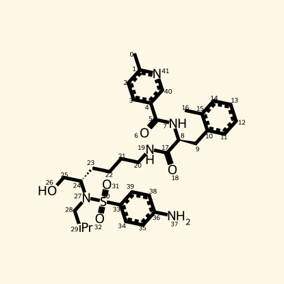 Cc1ccc(C(=O)N[C@@H](Cc2ccccc2C)C(=O)NCCCC[C@@H](CO)N(CC(C)C)S(=O)(=O)c2ccc(N)cc2)cn1